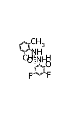 Cc1cccc(C)c1NC(=O)Nc1cc(F)cc(F)c1O